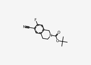 CC(C)(C)OC(=O)N1CCc2cc(C#N)c(F)cc2C1